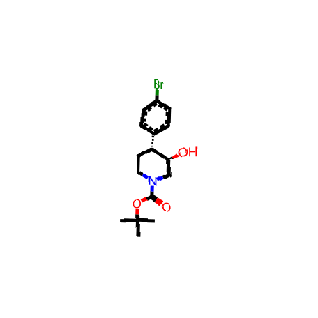 CC(C)(C)OC(=O)N1CC[C@H](c2ccc(Br)cc2)[C@@H](O)C1